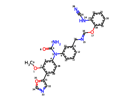 COc1cc(N(C(N)=O)c2cccc(CN=COc3ccccc3NC#N)c2)ccc1-c1cnco1